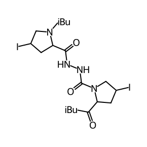 CCC(C)C(=O)C1CC(I)CN1C(=O)NNC(=O)C1CC(I)CN1C(C)CC